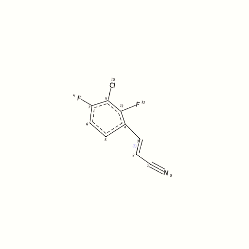 N#C/C=C/c1ccc(F)c(Cl)c1F